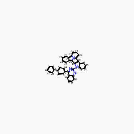 c1ccc(-c2ccc(-c3nc(-n4c5ccccc5c5c4c4c6ccccc6c6cccc5n64)nc4ccccc34)cc2)cc1